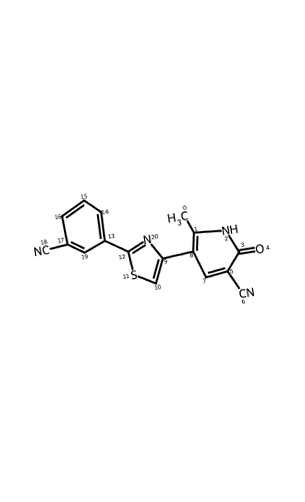 Cc1[nH]c(=O)c(C#N)cc1-c1csc(-c2cccc(C#N)c2)n1